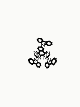 c1ccc2c(c1)c1ccccc1n2-c1ccc2c(c1)c1ncc(-n3c4ccccc4c4ccccc43)nc1c1nc(-n3c4ccccc4c4ccccc43)cnc21